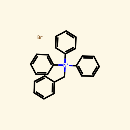 [Br-].c1ccc(C[N+](c2ccccc2)(c2ccccc2)c2ccccc2)cc1